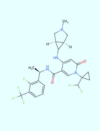 C[C@@H](NC(=O)c1cn(C2(C(F)F)CC2)c(=O)cc1NC1[C@H]2CN(C)C[C@@H]12)c1cccc(C(F)(F)F)c1F